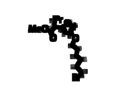 COC(=O)C(c1cc(OCCCCCCBr)no1)C(C)C